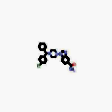 NC(=O)c1ccc2c(c1)ncn2N1CCN(C(c2ccccc2)c2ccc(Cl)cc2)CC1